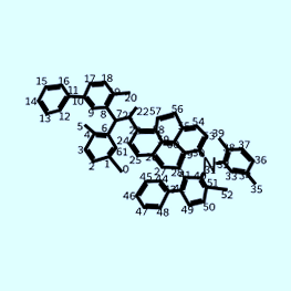 Cc1ccc(C)c(C(c2cc(-c3ccccc3)ccc2C)C(C)c2ccc3ccc4c(N(c5cc(C)ccc5C)c5cc(-c6ccccc6)ccc5C)ccc5ccc2c3c54)c1